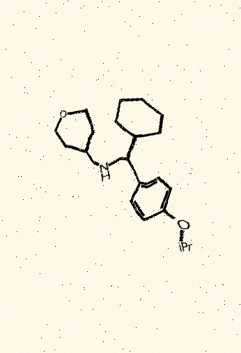 CC(C)Oc1ccc(C(NC2CCOCC2)C2CCCCC2)cc1